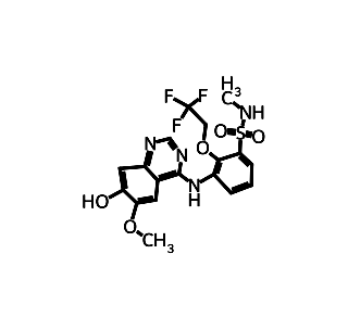 CNS(=O)(=O)c1cccc(Nc2ncnc3cc(O)c(OC)cc23)c1OCC(F)(F)F